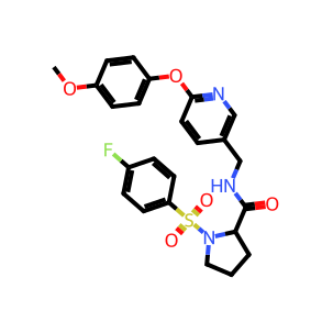 COc1ccc(Oc2ccc(CNC(=O)C3CCCN3S(=O)(=O)c3ccc(F)cc3)cn2)cc1